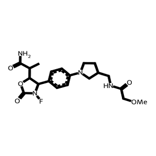 COCC(=O)NCC1CCN(c2ccc(C3C(C(C)C(N)=O)OC(=O)N3F)cc2)C1